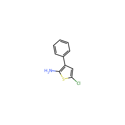 Nc1sc(Cl)cc1-c1ccccc1